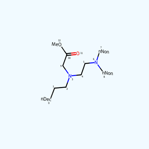 CCCCCCCCCCCCN(CCN(CCCCCCCCC)CCCCCCCCC)CC(=O)OC